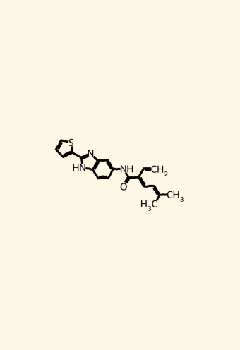 C=C/C(=C\C=C(C)C)C(=O)Nc1ccc2[nH]c(-c3cccs3)nc2c1